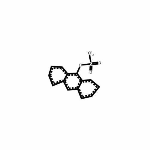 O=S(=O)(Oc1c2ccccc2cc2ccccc12)C(F)(F)F